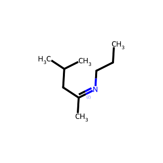 CCC/N=C(/C)CC(C)C